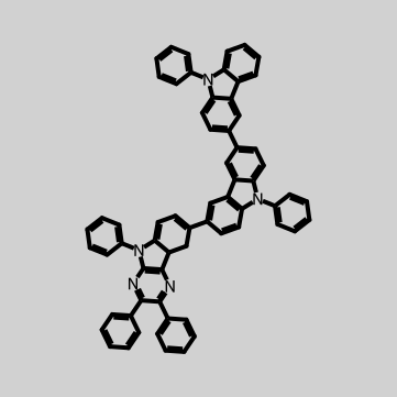 C1=C(c2ccc3c(c2)c2cc(-c4ccc5c(c4)c4ccccc4n5-c4ccccc4)ccc2n3-c2ccccc2)CC2C(=C1)N(c1ccccc1)c1nc(-c3ccccc3)c(-c3ccccc3)nc12